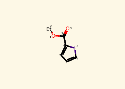 CCOC(=O)C1=CC=C[I]1